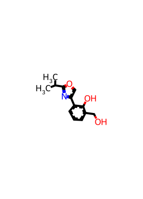 CC(C)c1nc(-c2cccc(CO)c2O)co1